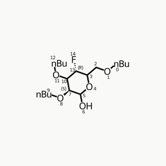 CCCCOCC1OC(O)[C@@H](OCCCC)C(OCCCC)[C@@H]1F